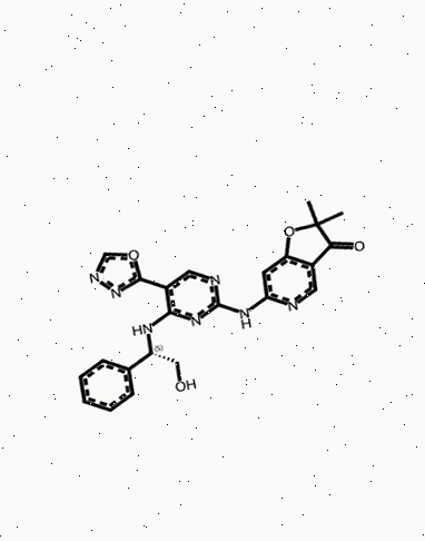 CC1(C)Oc2cc(Nc3ncc(-c4nnco4)c(N[C@H](CO)c4ccccc4)n3)ncc2C1=O